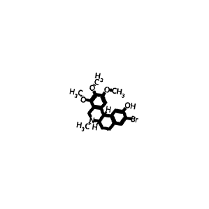 COc1cc2c(c(OC)c1OC)CN(C)[C@@H]1CCc3cc(Br)c(O)cc3[C@@H]21